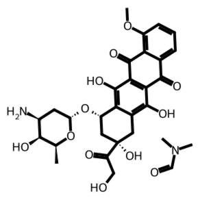 CN(C)C=O.COc1cccc2c1C(=O)c1c(O)c3c(c(O)c1C2=O)C[C@@](O)(C(=O)CO)C[C@@H]3O[C@H]1C[C@H](N)[C@H](O)[C@H](C)O1